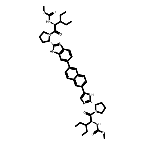 CCC(CC)[C@H](NC(=O)OC)C(=O)N1CCC[C@H]1c1ncc(-c2ccc3cc(-c4ccc5nc([C@@H]6CCCN6C(=O)[C@@H](NC(=O)OC)C(CC)CC)[nH]c5c4)ccc3c2)[nH]1